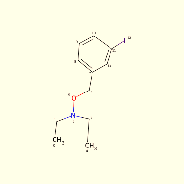 CCN(CC)OCc1cccc(I)c1